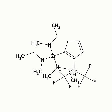 CC[N](C)[Zr]([C]1=[C]([GeH]([C](F)(F)F)[C](F)(F)F)C=CC1)([N](C)CC)[N](C)CC